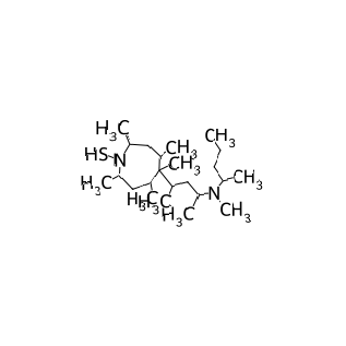 CCCC(C)N(C)C(C)CC(C)C1(C)C(C)CC(C)N(S)C(C)CC1C